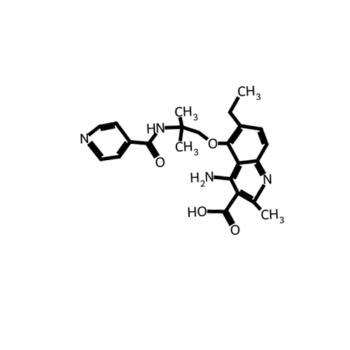 CCc1ccc2nc(C)c(C(=O)O)c(N)c2c1OCC(C)(C)NC(=O)c1ccncc1